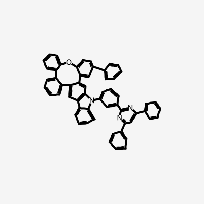 c1ccc(-c2ccc3oc4ccccc4c4ccccc4c4cc5c6ccccc6n(-c6cccc(-c7nc(-c8ccccc8)cc(-c8ccccc8)n7)c6)c5cc4c3c2)cc1